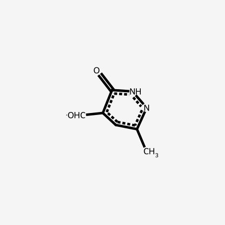 Cc1cc([C]=O)c(=O)[nH]n1